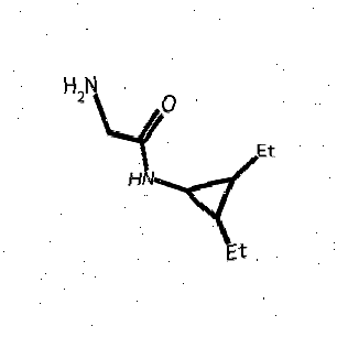 CCC1C(CC)C1NC(=O)CN